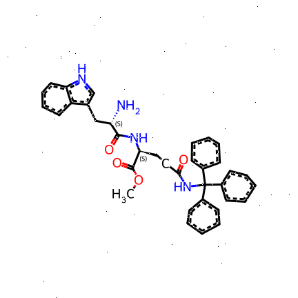 COC(=O)[C@H](CCC(=O)NC(c1ccccc1)(c1ccccc1)c1ccccc1)NC(=O)[C@@H](N)Cc1c[nH]c2ccccc12